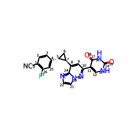 N#Cc1ccc([C@@H]2C[C@H]2c2cc(-c3c[nH]c(=O)[nH]c3=O)nn3ccnc23)cc1F